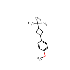 COc1ccc(C2CC(C(C)(C)C)C2)cc1